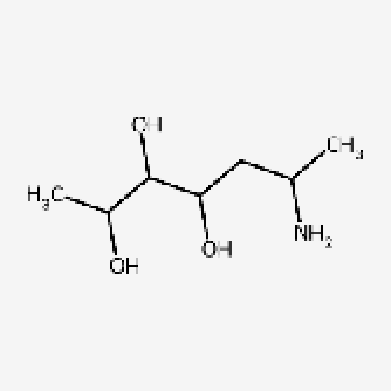 CC(N)CC(O)C(O)C(C)O